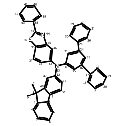 CC1(C)c2ccccc2-c2ccc(N(c3cc(-c4ccccc4)cc(-c4ccccc4)c3)c3ccc4sc(-c5ccccc5)nc4c3)cc21